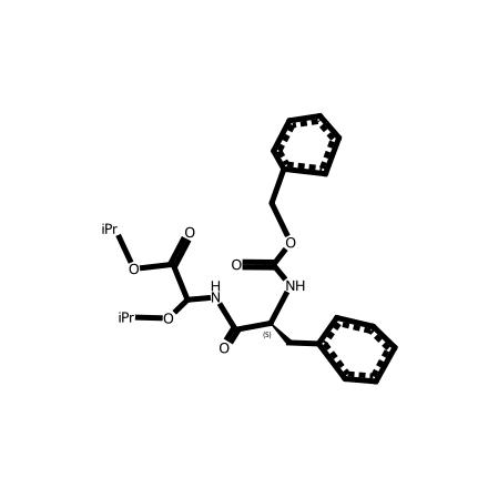 CC(C)OC(=O)C(NC(=O)[C@H](Cc1ccccc1)NC(=O)OCc1ccccc1)OC(C)C